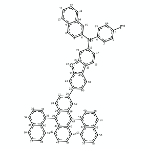 Fc1ccc(N(c2ccc3ccccc3c2)c2ccc3c(c2)oc2cc(-c4ccc5c(-c6cccc7ccccc67)c6ccccc6c(-c6cccc7ccccc67)c5c4)ccc23)cc1